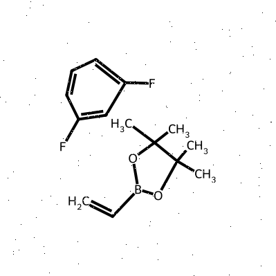 C=CB1OC(C)(C)C(C)(C)O1.Fc1cccc(F)c1